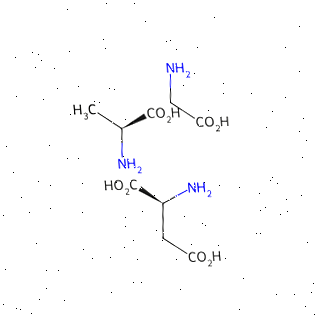 C[C@H](N)C(=O)O.NCC(=O)O.N[C@@H](CC(=O)O)C(=O)O